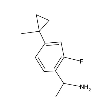 CC(N)c1ccc(C2(C)CC2)cc1F